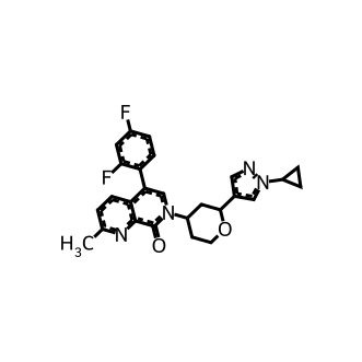 Cc1ccc2c(-c3ccc(F)cc3F)cn(C3CCOC(c4cnn(C5CC5)c4)C3)c(=O)c2n1